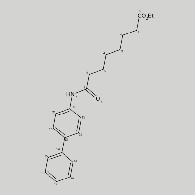 CCOC(=O)CCCCCCC(=O)Nc1ccc(-c2ccccc2)cc1